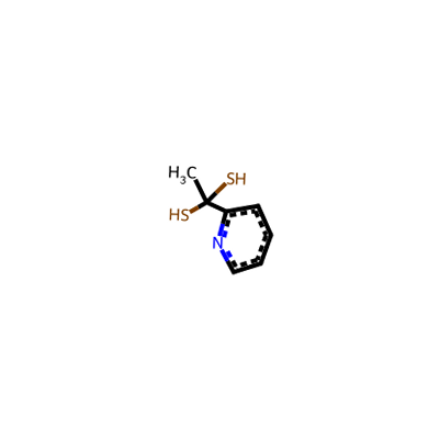 CC(S)(S)c1ccccn1